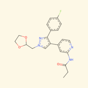 CCC(=O)Nc1cc(-c2cn(CC3OCCO3)nc2-c2ccc(F)cc2)ccn1